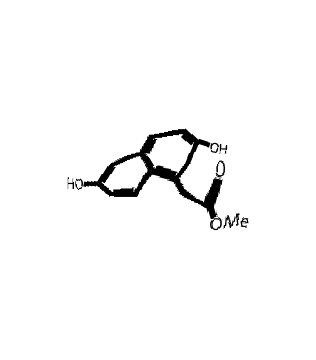 COC(=O)Cc1c(O)ccc2cc(O)ccc12